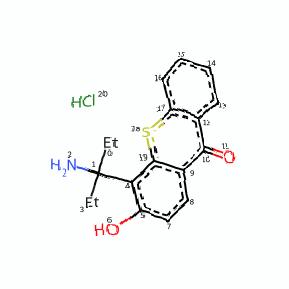 CCC(N)(CC)c1c(O)ccc2c(=O)c3ccccc3sc12.Cl